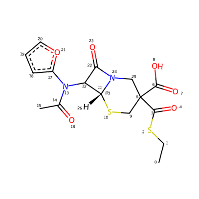 CCSC(=O)C1(C(=O)O)CS[C@@H]2C(N(C(C)=O)c3ccco3)C(=O)N2C1